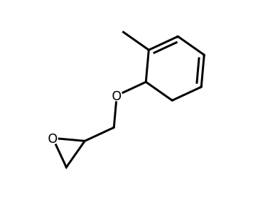 CC1=CC=CCC1OCC1CO1